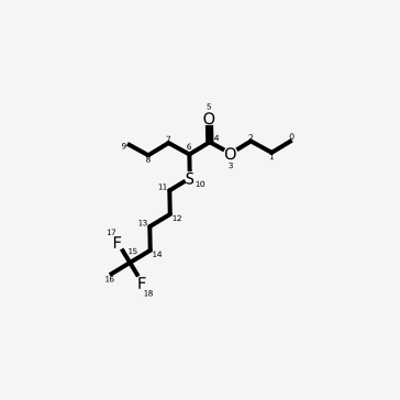 CCCOC(=O)C(CCC)SCCCCC(C)(F)F